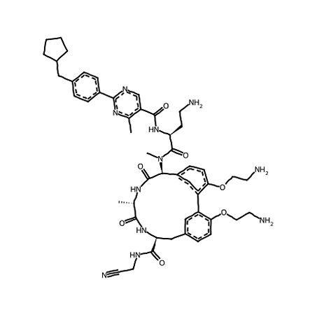 Cc1nc(-c2ccc(CC3CCCC3)cc2)ncc1C(=O)N[C@@H](CCN)C(=O)N(C)[C@@H]1C(=O)N[C@@H](C)C(=O)N[C@H](C(=O)NCC#N)Cc2ccc(OCCN)c(c2)-c2cc1ccc2OCCN